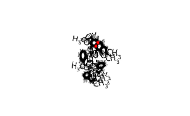 CC1(C)Cc2cccc(OP(Oc3ccccc3C(C)(C)OP(Oc3cccc4c3OC(C)(C)C4)Oc3cccc4c3OC(C)(C)C4)Oc3cccc4c3OC(C)(C)C4)c2O1